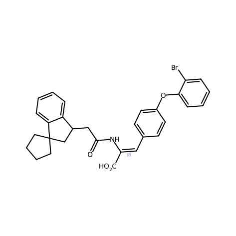 O=C(CC1CC2(CCCC2)c2ccccc21)N/C(=C\c1ccc(Oc2ccccc2Br)cc1)C(=O)O